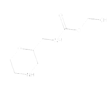 CCOC(=O)NCC1CNCCO1